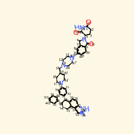 O=C1CCC(N2Cc3cc(N4CCN(CC5CCN(c6ccc([C@@H]7c8ccc9[nH]ncc9c8CC[C@@H]7c7ccccc7)cc6)CC5)CC4)ccc3C2=O)C(=O)N1